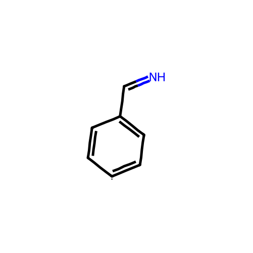 N=Cc1cc[c]cc1